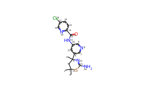 CC1(C)CC(C)(c2cncc(NC(=O)c3ccc(Cl)cn3)c2)N=C(N)S1